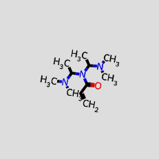 C=CC(=O)N(C(C)N(C)C)C(C)N(C)C